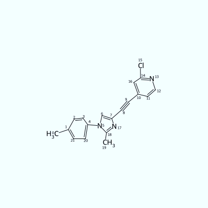 Cc1ccc(-n2cc(C#Cc3ccnc(Cl)c3)nc2C)cc1